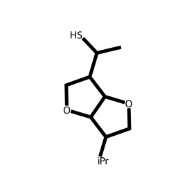 CC(C)C1COC2C(C(C)S)COC12